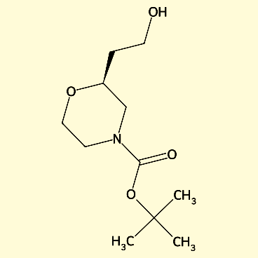 CC(C)(C)OC(=O)N1CCO[C@@H](CCO)C1